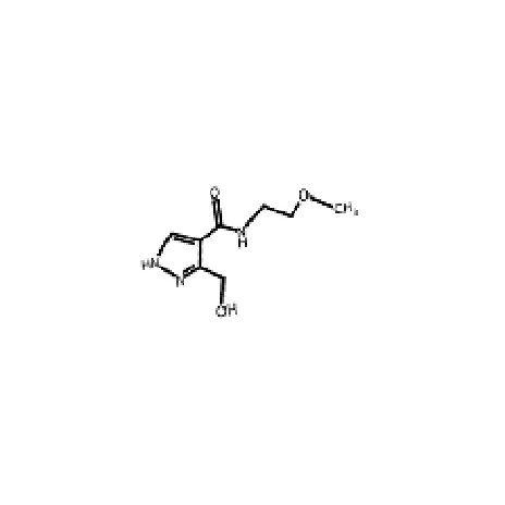 COCCNC(=O)c1c[nH]nc1CO